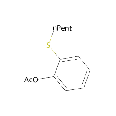 CCCCCSc1ccccc1OC(C)=O